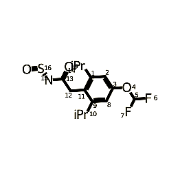 CC(C)c1cc(OC(F)F)cc(C(C)C)c1CC(=O)N=S=O